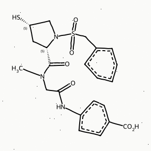 CN(CC(=O)Nc1ccc(C(=O)O)cc1)C(=O)[C@@H]1C[C@H](S)CN1S(=O)(=O)Cc1ccccc1